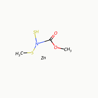 COC(=O)N(S)SC.[Zn]